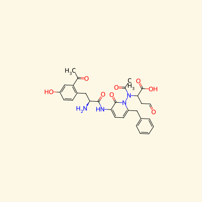 CC(=O)c1cc(O)ccc1C[C@H](N)C(=O)Nc1ccc(Cc2ccccc2)n(N(C(C)=O)C(CC=O)C(=O)O)c1=O